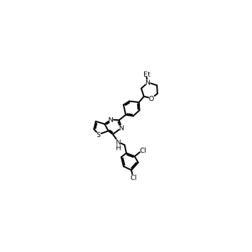 CCN1CCOC(c2ccc(-c3nc(NCc4ccc(Cl)cc4Cl)c4sccc4n3)cc2)C1